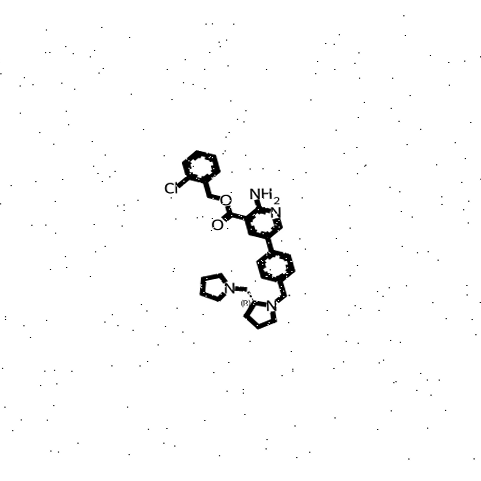 Nc1ncc(-c2ccc([CH]N3CCC[C@@H]3CN3CCCC3)cc2)cc1C(=O)OCc1ccccc1Cl